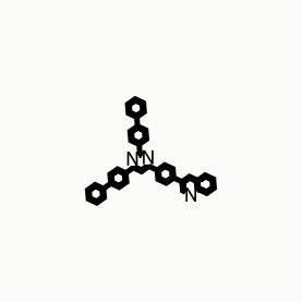 c1ccc(-c2ccc(-c3cc(-c4ccc(-c5cnc6ccccc6c5)cc4)nc(-c4ccc(-c5ccccc5)cc4)n3)cc2)cc1